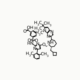 Cc1cccc(C)c1-c1cc(OC[C@@H]2NC(c3cnc4cc(C(C)(C)C)n(C)c4n3)CCC[C@H]2CC2CCC2)nc(NS(=O)(=O)c2cccc(C(=O)O)c2)n1